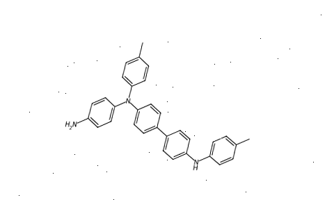 Cc1ccc(Nc2ccc(-c3ccc(N(c4ccc(C)cc4)c4ccc(N)cc4)cc3)cc2)cc1